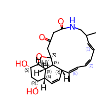 C\C1=C/C=C\C=C\C(C)CNC(=O)CC(=O)C[C@@H]2O[C@@H]3[C@H]4[C@H](C=C[C@@H]1[C@@H]42)[C@H](O)C[C@@H]3O